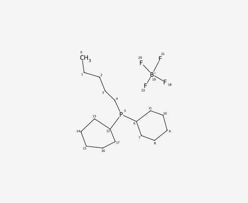 CCCCCP(C1CCCCC1)C1CCCCC1.F[B-](F)(F)F